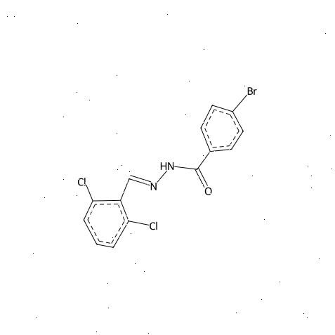 O=C(N/N=C/c1c(Cl)cccc1Cl)c1ccc(Br)cc1